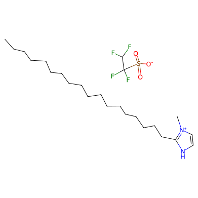 CCCCCCCCCCCCCCCCCCc1[nH]cc[n+]1C.O=S(=O)([O-])C(F)(F)C(F)F